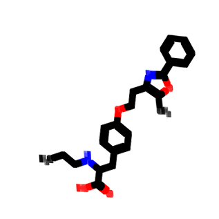 CCCNC(Cc1ccc(OCCc2nc(-c3ccccc3)oc2C)cc1)C(=O)O